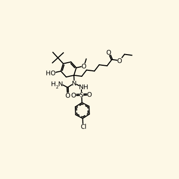 CCOC(=O)CCCCCC1(N(NS(=O)(=O)c2ccc(Cl)cc2)C(N)=O)CC(O)=C(C(C)(C)C)C=C1OC